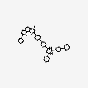 Cc1cc(-c2ccc(-c3ccc(-c4cc(-c5ccccc5)nc(-c5ccc(-c6ccccc6)cc5)n4)cc3)cc2)nc2c1ccc1ccc(-c3ccccc3)nc12